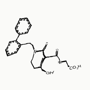 O=C(O)CNC(=O)C1=C(O)CCN(Cc2ccccc2-c2ccccc2)C1=O